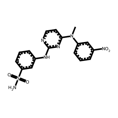 CN(c1cccc([N+](=O)[O-])c1)c1ccnc(Nc2cccc(S(N)(=O)=O)c2)n1